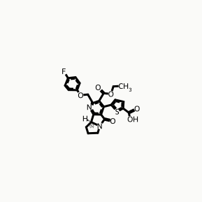 CCOC(=O)c1c(COc2ccc(F)cc2)nc2c(c1-c1ccc(C(=O)O)s1)C(=O)N1CCC[C@@H]21